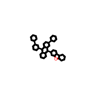 c1ccc(-c2cccc(-c3c4ccccc4c(-c4ccc5c(c4)oc4ccccc45)c4cc(-c5ccccc5)ccc34)c2)cc1